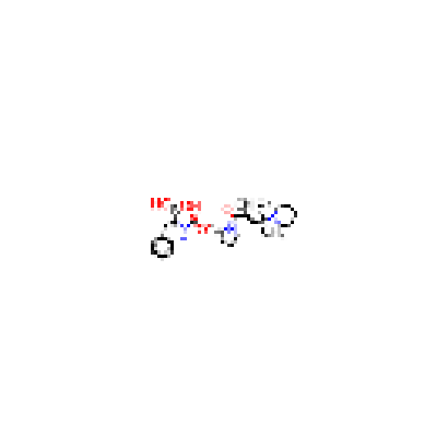 CC(C)(C=C(C#N)C(=O)N1CCC[C@@H]1COC(=O)N[C@@H](Cc1ccccc1)B(O)O)N1CCCCC1